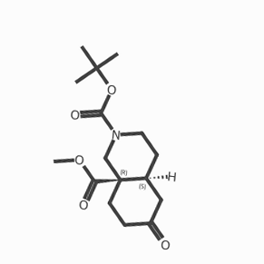 COC(=O)[C@]12CCC(=O)C[C@@H]1CCN(C(=O)OC(C)(C)C)C2